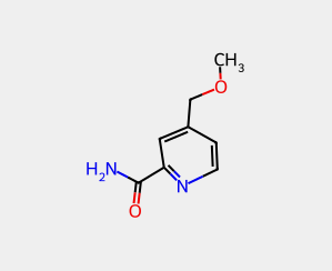 COCc1ccnc(C(N)=O)c1